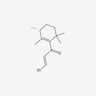 CC/C=C/C(=O)C1=C(C)[C@H](C)CCC1(C)C